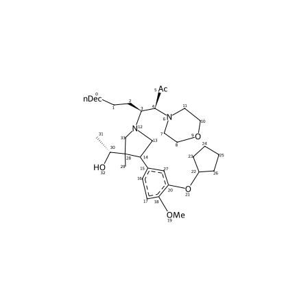 CCCCCCCCCCCC[C@@H]([C@@H](C(C)=O)N1CCOCC1)N1CC(c2ccc(OC)c(OC3CCCC3)c2)C(C)([C@@H](C)O)C1